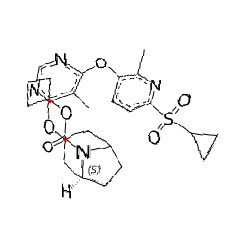 Cc1nc(S(=O)(=O)C2CC2)ccc1Oc1ncnc(OC2CC3CC[C@@H](C2)N3C(=O)OC2CCC2)c1C